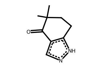 CC1(C)CCc2[nH]ncc2C1=O